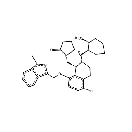 Cn1nc(COc2ccc(Cl)c3c2[C@@H](CN2CCCC2=O)N(C(=O)[C@@H]2CCCC[C@@H]2C(=O)O)CC3)c2ccccc21